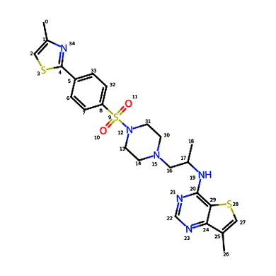 Cc1csc(-c2ccc(S(=O)(=O)N3CCN(CC(C)Nc4ncnc5c(C)csc45)CC3)cc2)n1